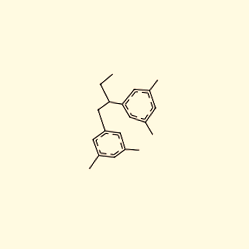 CCC(Cc1cc(C)cc(C)c1)c1cc(C)cc(C)c1